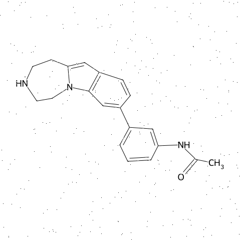 CC(=O)Nc1cccc(-c2ccc3cc4n(c3c2)CCNCC4)c1